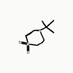 CC(C)(C)N1CCS(=O)(=O)CC1